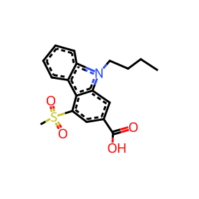 CCCCn1c2ccccc2c2c(S(C)(=O)=O)cc(C(=O)O)cc21